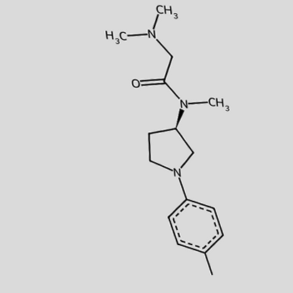 CN(C)CC(=O)N(C)[C@@H]1CCN(c2ccc(N)cc2)C1